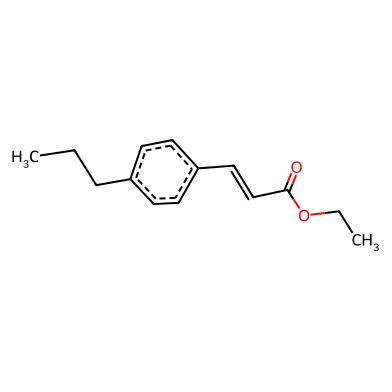 CCCc1ccc(/C=C/C(=O)OCC)cc1